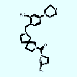 CC(=O)c1ccn(C(=O)N2CCC3(CCN(Cc4ccc(N5CCOCC5)cc4C(F)(F)F)C3)C2)n1